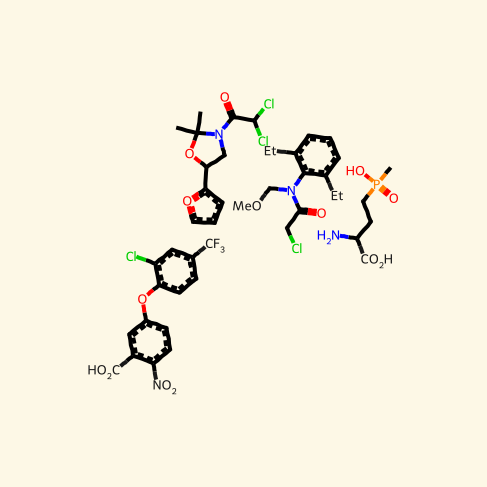 CC1(C)OC(c2ccco2)CN1C(=O)C(Cl)Cl.CCc1cccc(CC)c1N(COC)C(=O)CCl.CP(=O)(O)CCC(N)C(=O)O.O=C(O)c1cc(Oc2ccc(C(F)(F)F)cc2Cl)ccc1[N+](=O)[O-]